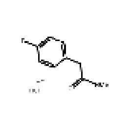 CNC(=O)Cc1ccc(F)cc1.Cl.Cl